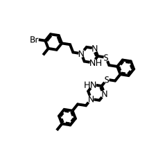 Cc1ccc(CCN2CN=C(SCc3ccccc3CSC3=NCN(CCC4=CC=C(Br)C(C)C4)CN3)NC2)cc1